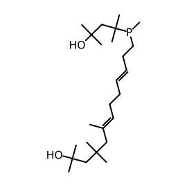 C/C(=C\CC/C=C/CCP(C)C(C)(C)CC(C)(C)O)CC(C)(C)CC(C)(C)O